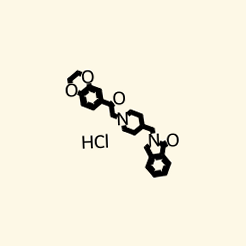 Cl.O=C(CN1CCC(CN2Cc3ccccc3C2=O)CC1)c1ccc2c(c1)OCCO2